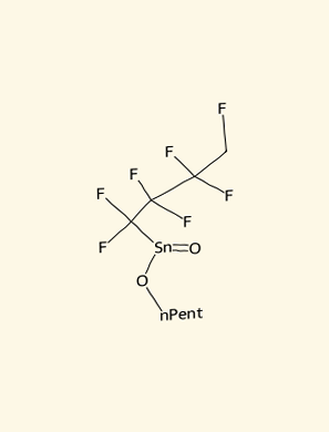 CCCCC[O][Sn](=[O])[C](F)(F)C(F)(F)C(F)(F)CF